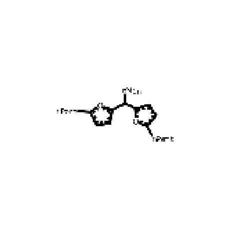 CCCCCCCCCC(c1ccc(CCCCC)o1)c1ccc(CCCCC)o1